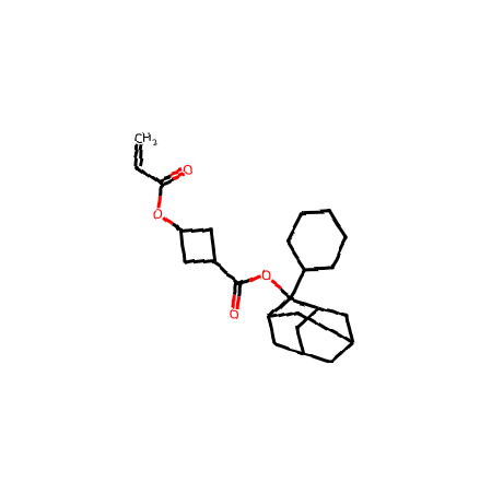 C=CC(=O)OC1CC(C(=O)OC2(C3CCCCC3)C3CC4CC(C3)CC2C4)C1